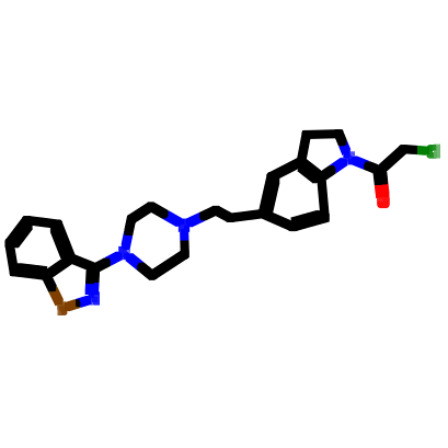 O=C(CCl)N1CCc2cc(CCN3CCN(c4nsc5ccccc45)CC3)ccc21